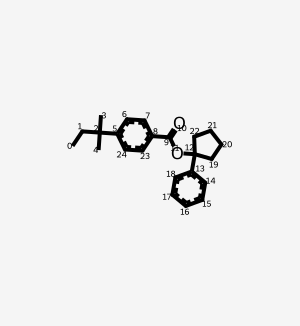 CCC(C)(C)c1ccc(C(=O)OC2(c3ccccc3)CCCC2)cc1